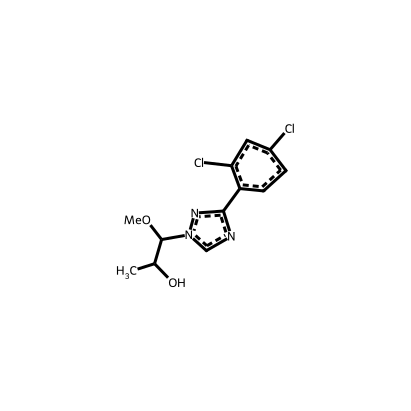 COC(C(C)O)n1cnc(-c2ccc(Cl)cc2Cl)n1